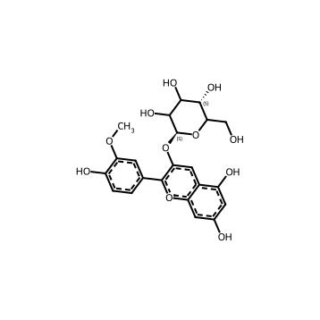 COc1cc(-c2[o+]c3cc(O)cc(O)c3cc2O[C@@H]2OC(CO)[C@@H](O)C(O)C2O)ccc1O